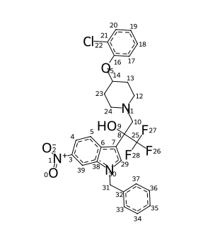 O=[N+]([O-])c1ccc2c(C(O)(CN3CCC(Oc4ccccc4Cl)CC3)C(F)(F)F)cn(Cc3ccccc3)c2c1